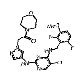 COc1ccc(F)c(CNc2nc(Nc3cnn(CC(=O)N4CCOCC4)c3)ncc2Cl)c1F